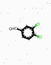 O=Cc1[c]c(Cl)c(Cl)cc1